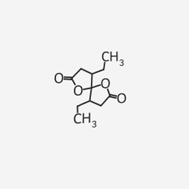 CCC1CC(=O)OC12OC(=O)CC2CC